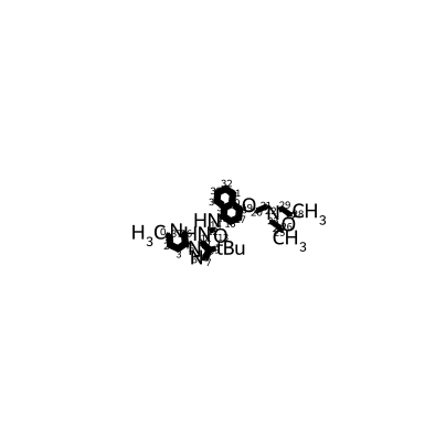 Cc1ccc(-n2ncc(C(C)(C)C)c2NC(=O)Nc2ccc(OCCN3C[C@H](C)O[C@@H](C)C3)c3ccccc23)cn1